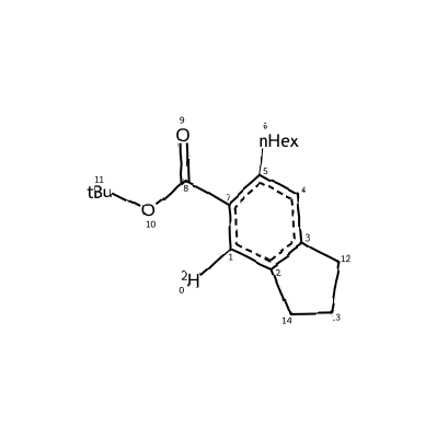 [2H]c1c2c(cc(CCCCCC)c1C(=O)OC(C)(C)C)CCC2